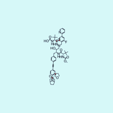 COC(=O)N[C@H](C(=O)N[C@@H](Cc1ccc(C#Cc2ccc(N3CC4CCC(C3)N4C(=O)[C@@H]3CCCO3)nc2)cc1)[C@@H](O)CN(Cc1c(F)cc(-c2ccccn2)cc1F)NC(=O)[C@@H](NC(=O)O)C(C)(C)C)C(C)(C)C